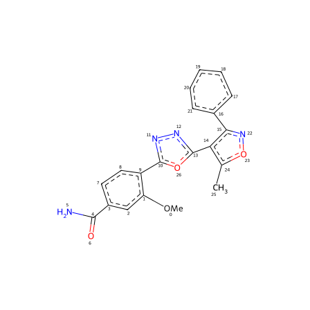 COc1cc(C(N)=O)ccc1-c1nnc(-c2c(-c3ccccc3)noc2C)o1